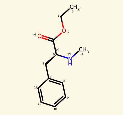 CCOC(=O)[C@H](Cc1ccccc1)NC